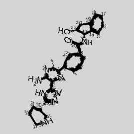 Nc1ncc(-c2cccc(C(=O)N[C@@H]3c4ccccc4C[C@@H]3O)c2)nc1-c1nnc([C@H]2CCCNC2)[nH]1